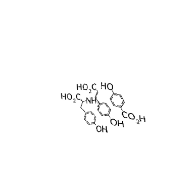 N[C@@H](Cc1ccc(O)cc1)C(=O)O.O=C(O)C=Cc1ccc(O)cc1.O=C(O)c1ccc(O)cc1